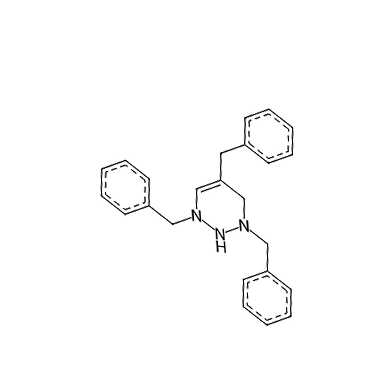 C1=C(Cc2ccccc2)CN(Cc2ccccc2)NN1Cc1ccccc1